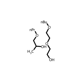 CCCCOCCOCCO.CCCOCC(C)O